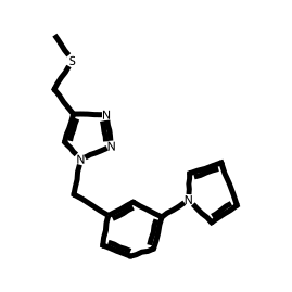 CSCc1cn(Cc2cccc(-n3cccc3)c2)nn1